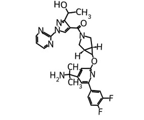 CC(O)c1nn(-c2ncccn2)cc1C(=O)N1C[C@@H]2C(Oc3cc(C(C)(C)N)cc(-c4ccc(F)c(F)c4)n3)[C@@H]2C1